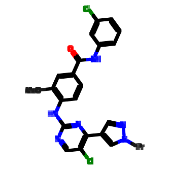 COc1cc(C(=O)Nc2cccc(Cl)c2)ccc1Nc1ncc(Cl)c(-c2cnn(C(C)C)c2)n1